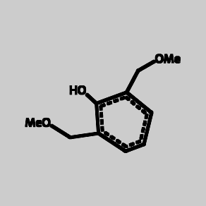 COCc1cccc(COC)c1O